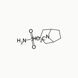 NS(=O)(=O)C1CC2CCC(C1)N2C(=O)O